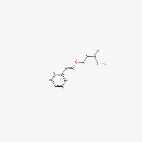 CCC(C)CCO/C=C/c1ccccc1